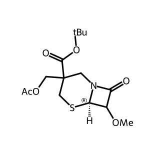 COC1C(=O)N2CC(COC(C)=O)(C(=O)OC(C)(C)C)CS[C@H]12